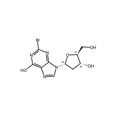 OC[C@@H]1O[C@@H](n2cnc3c(O)nc(Br)nc32)C[C@H]1O